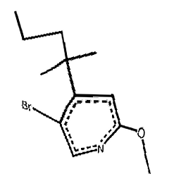 CCCC(C)(C)c1cc(OC)ncc1Br